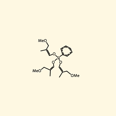 COCC(C)=CO[Si](OC=C(C)COC)(OC=C(C)COC)c1ccccc1